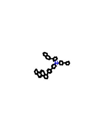 c1ccc(-c2ccc(N(c3ccc(-c4ccc(-c5cccc6c5ccc5c7ccccc7ccc65)cc4)cc3)c3cccc(-c4ccc5ccccc5c4)c3)cc2)cc1